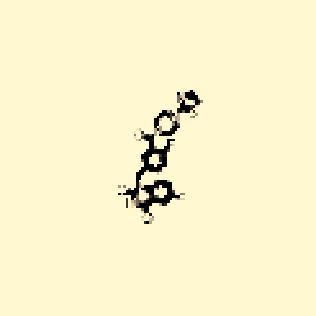 O=C(c1cc(Cn2c(=O)[nH]c(=O)c3cc(F)ccc32)ccc1F)N1CCN(c2nccs2)CC1